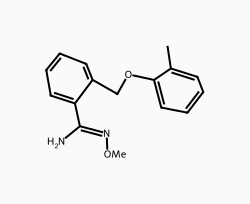 CON=C(N)c1ccccc1COc1ccccc1C